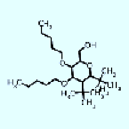 CCCCCOC1C(CO)OC(C(C)(C)C)C(C(C)(C)C)C1OCCCCC